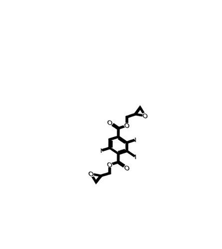 O=C(OCC1CO1)c1cc(I)c(C(=O)OCC2CO2)c(I)c1I